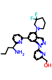 CCCC(N)c1cccc(-c2cc(N3CCCC(F)(F)C3)c3cnn(-c4cccc(CO)n4)c3c2)n1